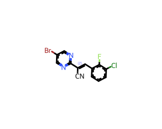 N#C/C(=C\c1cccc(Cl)c1F)c1ncc(Br)cn1